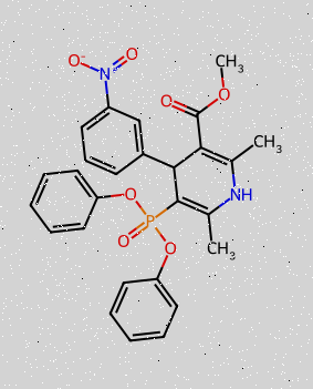 COC(=O)C1=C(C)NC(C)=C(P(=O)(Oc2ccccc2)Oc2ccccc2)C1c1cccc([N+](=O)[O-])c1